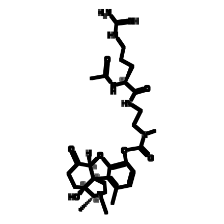 CC(=O)N[C@@H](CCCNC(=N)N)C(=O)NCCN(C)C(=O)Oc1ccc(C)c2c1O[C@H]1C(=O)CC[C@@]3(O)[C@@H](C)N(C)CC[C@]213